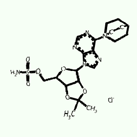 CC1(C)OC2C(COS(N)(=O)=O)OC(n3cnc4c([N+]56CCC(CC5)CC6)ncnc43)C2O1.[Cl-]